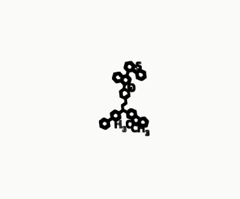 CC1(C)c2ccccc2-c2ccc(C(CCC3=CC4Oc5cc(-c6cccc7sc8ccccc8c67)c6ccccc6c5C4C=C3)c3ccc(-c4ccccc4)cc3)cc21